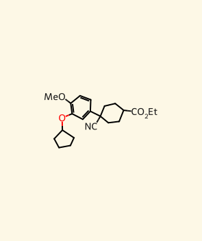 CCOC(=O)C1CCC(C#N)(c2ccc(OC)c(OC3CCCC3)c2)CC1